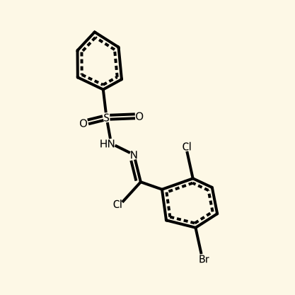 O=S(=O)(NN=C(Cl)c1cc(Br)ccc1Cl)c1ccccc1